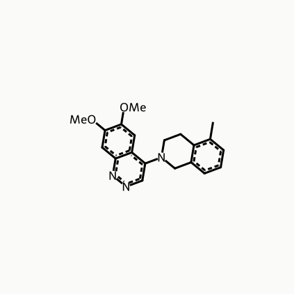 COc1cc2nncc(N3CCc4c(C)cccc4C3)c2cc1OC